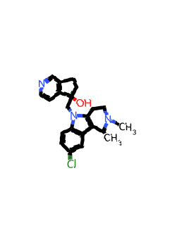 CC1c2c(n(CC3(O)CCc4cnccc43)c3ccc(Cl)cc23)CCN1C